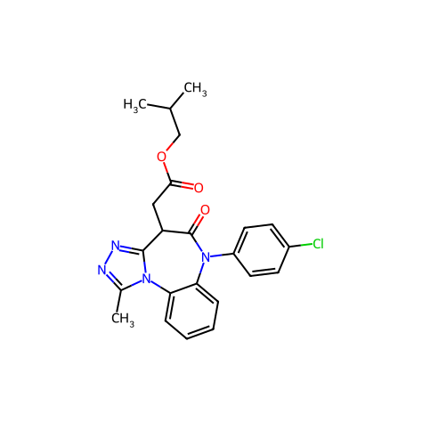 Cc1nnc2n1-c1ccccc1N(c1ccc(Cl)cc1)C(=O)C2CC(=O)OCC(C)C